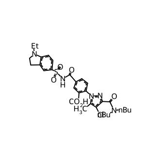 CCCCN(CCCC)C(=O)c1nn(-c2ccc(C(=O)NS(=O)(=O)c3ccc4c(c3)CCN4CC)cc2C(=O)O)c(C)c1Cl